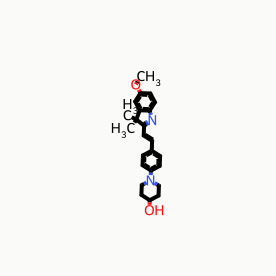 COc1ccc2c(c1)C(C)(C)C(/C=C/c1ccc(N3CCC(O)CC3)cc1)=N2